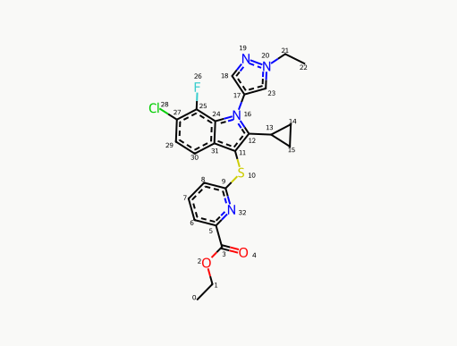 CCOC(=O)c1cccc(Sc2c(C3CC3)n(-c3cnn(CC)c3)c3c(F)c(Cl)ccc23)n1